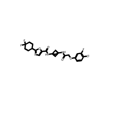 O=C(COc1ccc(Cl)c(F)c1)NC12CC(NC(=O)c3cnc(C4CCC(F)(F)CC4)o3)(C1)C2